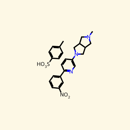 CN1CC2CN(c3ccc(-c4cccc([N+](=O)[O-])c4)nc3)CC2C1.Cc1ccc(S(=O)(=O)O)cc1